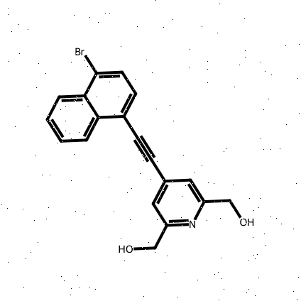 OCc1cc(C#Cc2ccc(Br)c3ccccc23)cc(CO)n1